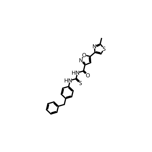 Cc1nc(-c2cc(C(=O)NC(=S)Nc3ccc(Cc4ccccc4)cc3)no2)cs1